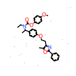 CCN(C(=O)Oc1ccc(OC)cc1)C(C)c1ccc(OCCc2nc(-c3ccccc3)oc2C)cc1